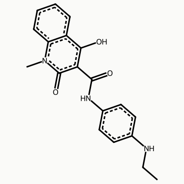 CCNc1ccc(NC(=O)c2c(O)c3ccccc3n(C)c2=O)cc1